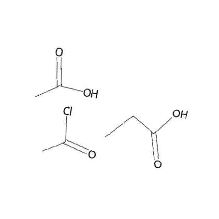 CC(=O)Cl.CC(=O)O.CCC(=O)O